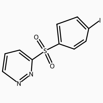 O=S(=O)(c1ccc(I)cc1)c1cccnn1